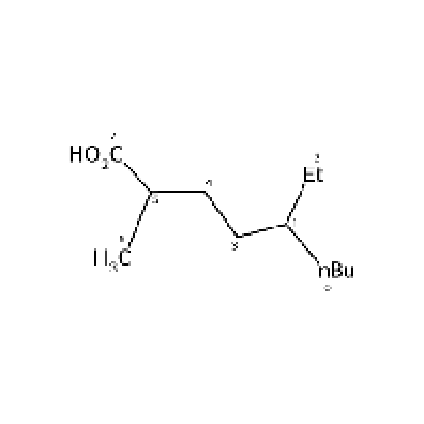 CCCCC(CC)CCC(C)C(=O)O